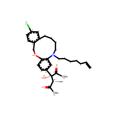 C=CCCCCCN1CCCCc2cc(Cl)ccc2COc2ccc([C@@](O)(C(=O)OC)[C@H](C)C(=O)OCC(C)C)cc21